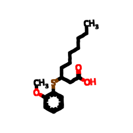 CCCCCCCC(CC(=O)O)Sc1ccccc1OC